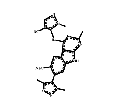 COc1cc2c(cc1-c1c(C)noc1C)[nH]c1nc(C)nc(Nc3c(C#N)cnn3C)c12